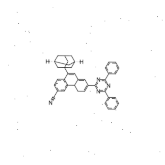 N#Cc1ccc2c(c1)C1CC=C(c3nc(-c4ccccc4)nc(-c4ccccc4)n3)C=C1C=C2C12CC3C[C@H](C1)C[C@@H](C3)C2